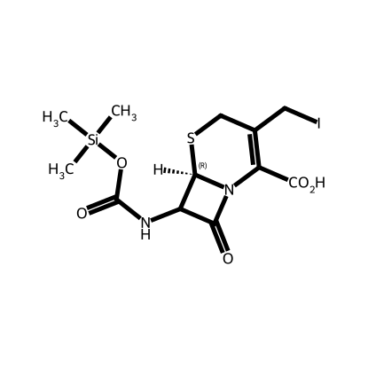 C[Si](C)(C)OC(=O)NC1C(=O)N2C(C(=O)O)=C(CI)CS[C@H]12